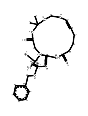 [2H]C([2H])([2H])N1CC(=O)OC(C)(C)CCC/C=C/CCCC(=O)N/C1=N/C(=O)OCc1ccccc1